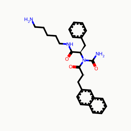 NCCCCCNC(=O)[C@@H](Cc1ccccc1)N(C(N)=O)C(=O)[CH]Cc1ccc2ccccc2c1